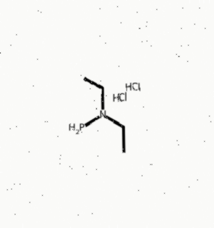 CCN(P)CC.Cl.Cl